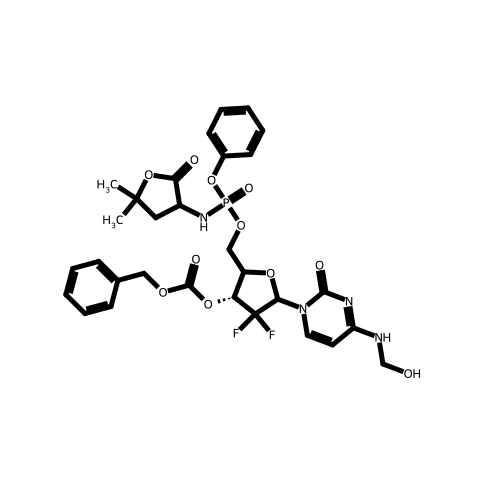 CC1(C)CC(NP(=O)(OCC2OC(n3ccc(NCO)nc3=O)C(F)(F)[C@@H]2OC(=O)OCc2ccccc2)Oc2ccccc2)C(=O)O1